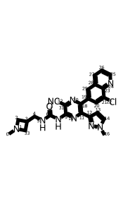 CN1CC(CNC(=O)Nc2nc(-c3ccn(C)n3)c(-c3cc(Cl)c4ncccc4c3)nc2C#N)C1